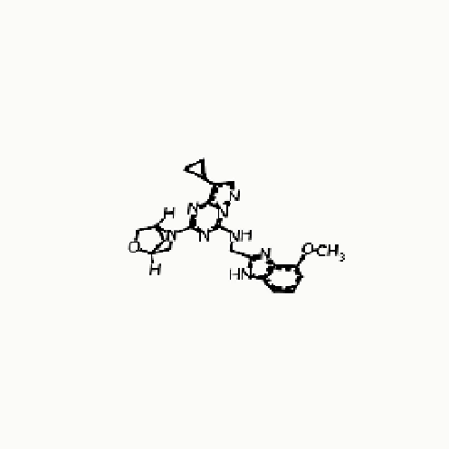 COc1cccc2[nH]c(CNc3nc(N4C[C@H]5C[C@@H]4CO5)nc4c(C5CC5)cnn34)nc12